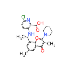 Cc1cc([C@@H](C)Nc2ccc(Cl)nc2C(=O)O)c2oc(N3CCCCC3)c(C)c(=O)c2c1